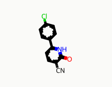 N#Cc1ccc(-c2ccc(Cl)cc2)[nH]c1=O